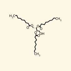 CCCCCCCCC(=O)OC[C@H](OC(=O)CCCCCCCC)[C@@H](CO)OC(=O)CCCCCCCC